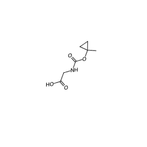 CC1(OC(=O)NCC(=O)O)CC1